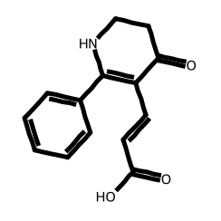 O=C(O)/C=C/C1=C(c2ccccc2)NCCC1=O